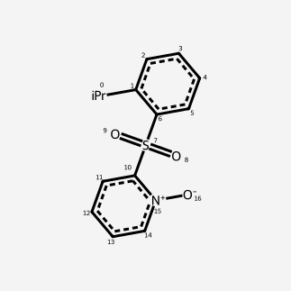 CC(C)c1ccccc1S(=O)(=O)c1cccc[n+]1[O-]